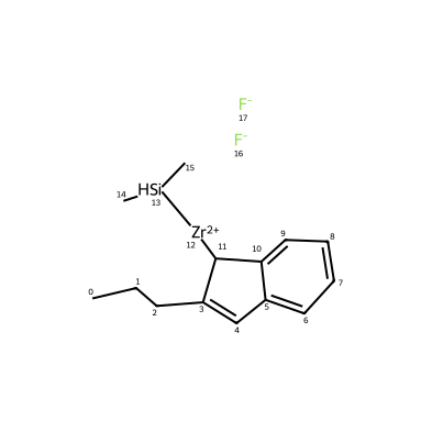 CCCC1=Cc2ccccc2[CH]1[Zr+2][SiH](C)C.[F-].[F-]